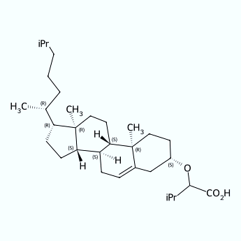 CC(C)CCC[C@@H](C)[C@H]1CC[C@H]2[C@@H]3CC=C4C[C@@H](OC(C(=O)O)C(C)C)CC[C@]4(C)[C@H]3CC[C@]12C